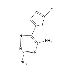 Nc1nnc(-c2ccc(Cl)s2)c(N)n1